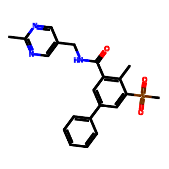 Cc1ncc(CNC(=O)c2cc(-c3ccccc3)cc(S(C)(=O)=O)c2C)cn1